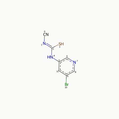 N#C/N=C(\S)Nc1cncc(Br)c1